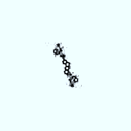 CC[C@H](C)[C@H](NC(=O)OC)C(=O)N1[C@H](c2nc(Cl)c(-c3ccc4c(c3)COc3cc5c(ccc6nc([C@@H]7C[C@@H]8CCC[C@@H]8N7C(=O)[C@@H](NC(=O)OC)[C@@H](C)CC)[nH]c65)cc3-4)[nH]2)C[C@@H]2CCC[C@@H]21